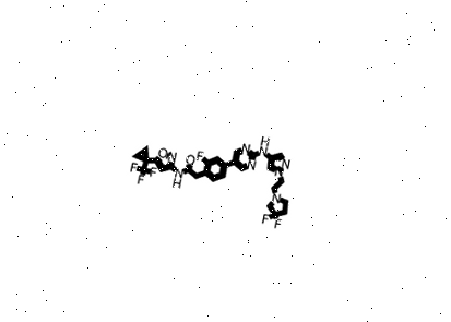 O=C(Cc1ccc(-c2cnc(Nc3cnn(CCN4CCC(F)(F)C4)c3)nc2)cc1F)Nc1cc(C2(C(F)(F)F)CC2)on1